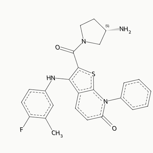 Cc1cc(Nc2c(C(=O)N3CC[C@H](N)C3)sc3c2ccc(=O)n3-c2ccccc2)ccc1F